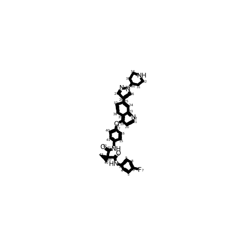 O=C(Nc1ccc(F)cc1)C1(C(=O)Nc2ccc(Oc3ccnc4cc(-c5cnn(C6CCNCC6)c5)ccc34)cc2)CC1